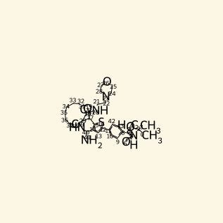 CC(C)(C)NS(=O)(=O)c1ccc(-c2cc3c(s2)C(C(=O)NCCN2CCOCC2)C2(CCCCCCCCC2)NC3N)cc1